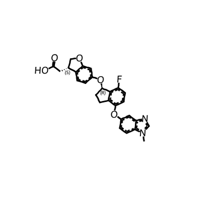 Cn1cnc2cc(Oc3ccc(F)c4c3CC[C@H]4Oc3ccc4c(c3)OC[C@H]4CC(=O)O)ccc21